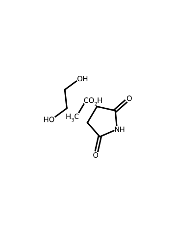 CC(=O)O.O=C1CCC(=O)N1.OCCO